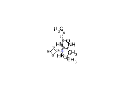 CCCC(=O)N/C(C=N)=C(/NC(C)C)C1CCC1